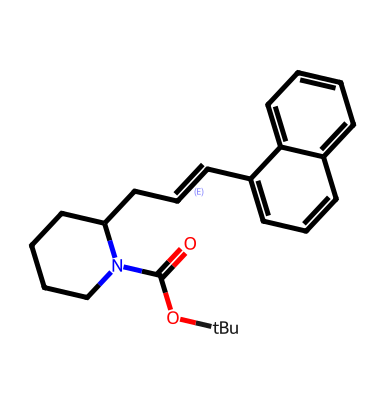 CC(C)(C)OC(=O)N1CCCCC1C/C=C/c1cccc2ccccc12